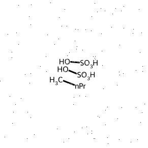 CCCC.O=S(=O)(O)O.O=S(=O)(O)O